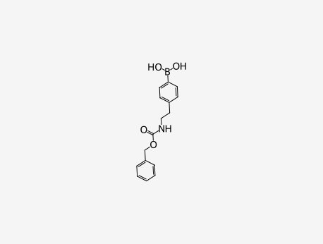 O=C(NCCc1ccc(B(O)O)cc1)OCc1ccccc1